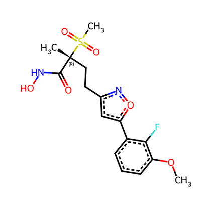 COc1cccc(-c2cc(CC[C@](C)(C(=O)NO)S(C)(=O)=O)no2)c1F